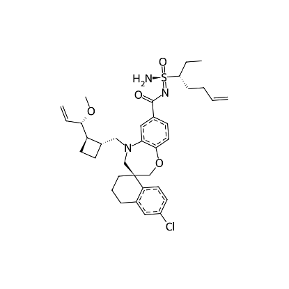 C=CCC[C@@H](CC)[S@@](N)(=O)=NC(=O)c1ccc2c(c1)N(C[C@@H]1CC[C@H]1[C@H](C=C)OC)C[C@@]1(CCCc3cc(Cl)ccc31)CO2